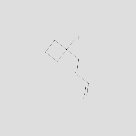 CC1(CN[C]=O)CCC1